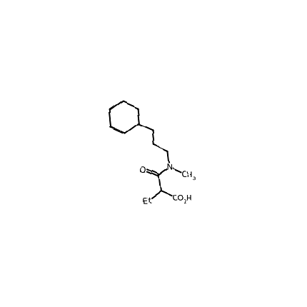 CCC(C(=O)O)C(=O)N(C)CCCC1CCCCC1